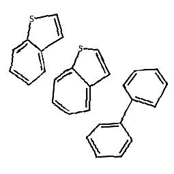 c1ccc(-c2ccccc2)cc1.c1ccc2sccc2c1.c1ccc2sccc2c1